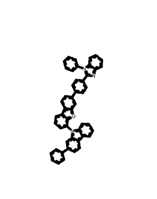 c1ccc(-c2ccc3c4ccccc4n(-c4cccc5c4oc4cc(-c6ccc(-c7nc8ccccc8n7-c7ccccc7)cc6)ccc45)c3c2)cc1